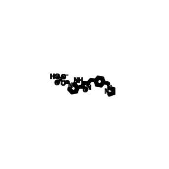 Nc1c(-c2cc(Cc3ccc(Cn4cccn4)cc3)no2)ccc[n+]1COP(=O)([O-])O